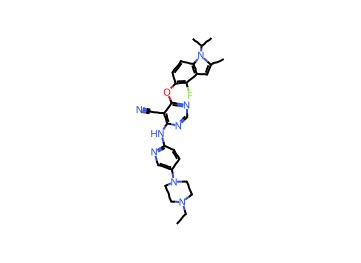 CCN1CCN(c2ccc(Nc3ncnc(Oc4ccc5c(cc(C)n5C(C)C)c4F)c3C#N)nc2)CC1